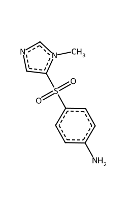 Cn1cncc1S(=O)(=O)c1ccc(N)cc1